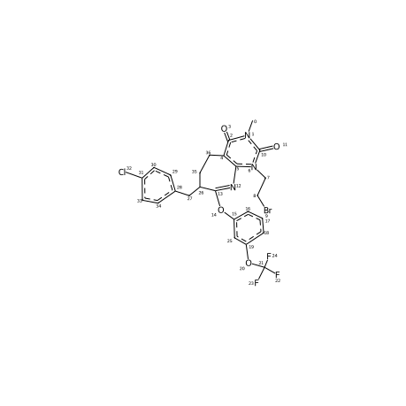 Cn1c(=O)c2c(n(CCBr)c1=O)N=C(Oc1cccc(OC(F)(F)F)c1)C(Cc1ccc(Cl)cc1)CC2